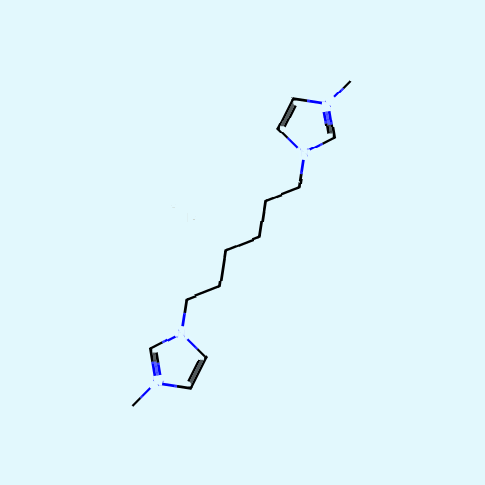 C[n+]1ccn(CCCCCCn2cc[n+](C)c2)c1.[Br-].[Br-]